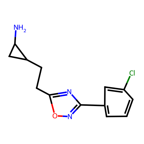 NC1CC1CCc1nc(-c2cccc(Cl)c2)no1